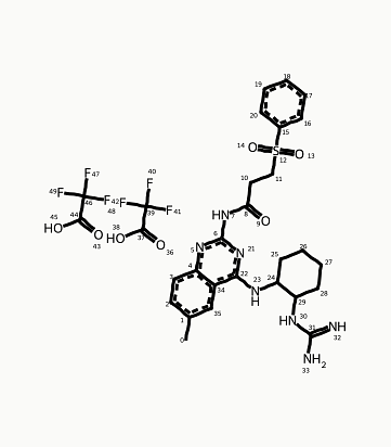 Cc1ccc2nc(NC(=O)CCS(=O)(=O)c3ccccc3)nc(NC3CCCCC3NC(=N)N)c2c1.O=C(O)C(F)(F)F.O=C(O)C(F)(F)F